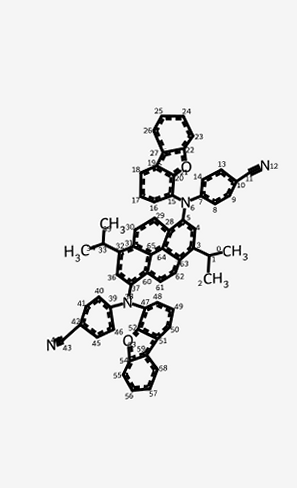 CC(C)c1cc(N(c2ccc(C#N)cc2)c2cccc3c2oc2ccccc23)c2ccc3c(C(C)C)cc(N(c4ccc(C#N)cc4)c4cccc5c4oc4ccccc45)c4ccc1c2c34